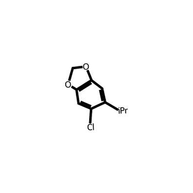 CC(C)c1cc2c(cc1Cl)OCO2